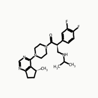 CC(C)NC[C@@H](C(=O)N1CCN(c2ncnc3c2[C@H](C)CC3)CC1)c1ccc(F)c(F)c1